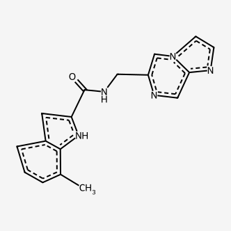 Cc1cccc2cc(C(=O)NCc3cn4ccnc4cn3)[nH]c12